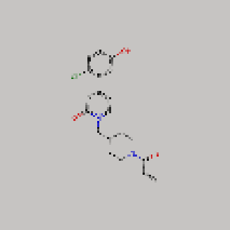 C=CC(=O)N1CCC(Cn2ccc(-c3cc(O)ccc3Cl)cc2=O)CC1